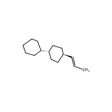 C/C=C/[C@H]1CC[C@H](C2CCCCC2)CC1